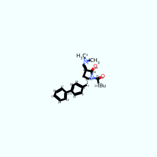 CN(C)/C=C1/C[C@@H](Cc2ccc(-c3ccccc3)cc2)N(C(=O)C(C)(C)C)C1=O